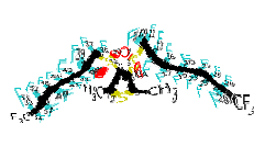 Cc1sc(C)c(S(=O)(=O)C(F)(F)C(F)(F)C(F)(F)C(F)(F)C(F)(F)C(F)(F)C(F)(F)C(F)(F)F)c1S(=O)(=O)C(F)(F)C(F)(F)C(F)(F)C(F)(F)C(F)(F)C(F)(F)C(F)(F)C(F)(F)F